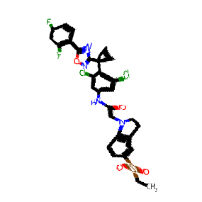 CCS(=O)(=O)c1ccc2c(c1)CCN2CC(=O)Nc1cc(Cl)c(C2(c3noc(-c4ccc(F)cc4F)n3)CC2)c(Cl)c1